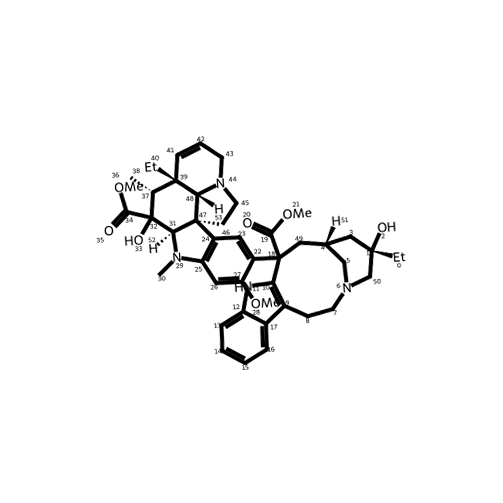 CC[C@]1(O)C[C@@H]2CN(CCc3c([nH]c4ccccc34)C(C(=O)OC)(c3cc4c(cc3OC)N(C)[C@H]3C(O)(C(=O)OC)[C@H](C)[C@]5(CC)C=CCN6CC[C@]43[C@@H]65)C2)C1